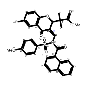 COC(=O)C(C)(C)C1Oc2ccc(F)cc2C(=O)/C1=C\N(C(=O)c1cccc2ccccc12)S(=O)(=O)c1ccc(OC)cc1